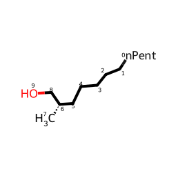 CCCCCCCCCC[C@H](C)CO